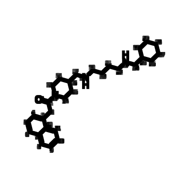 O=C(Cc1cccc2ccccc12)N1CCC(CNCCCCNCC2CCCCC2)CC1